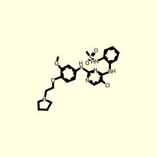 COc1cc(Nc2ncc(Cl)c(Nc3ccccc3NS(C)(=O)=O)n2)ccc1OCCN1CCCC1